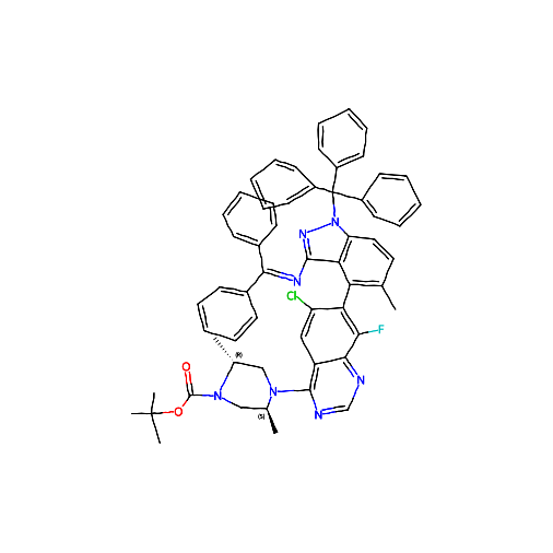 Cc1ccc2c(c(N=C(c3ccccc3)c3ccccc3)nn2C(c2ccccc2)(c2ccccc2)c2ccccc2)c1-c1c(Cl)cc2c(N3C[C@@H](C)N(C(=O)OC(C)(C)C)C[C@@H]3C)ncnc2c1F